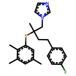 Cc1cc(C)c(C)c(SC(C)(CCc2ccc(F)cc2)Cn2ccnc2)c1